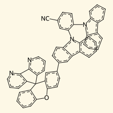 N#Cc1ccc(-n2c3ccccc3c3ccccc32)c(-n2c3ccccc3c3cc(-c4ccc5c(c4)C4(c6ccccc6O5)c5cccnc5-c5ncccc54)ccc32)c1